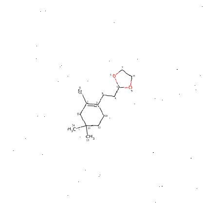 CCC1=C(CCC2OCCO2)CCC(C)(C)C1